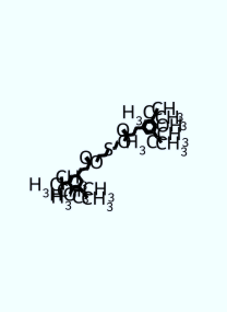 CC(C)(C)C1=CC(CCC(=O)OCCSCCOC(=O)CCc2cc(C(C)(C)C)c(O)c(C(C)(C)C)c2)CC(C(C)(C)C)=C1O